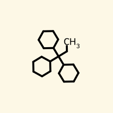 CCC(C1CCCCC1)(C1CCCCC1)C1CCCCC1